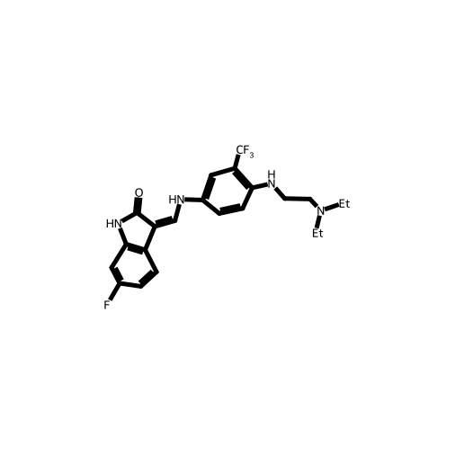 CCN(CC)CCNc1ccc(NC=C2C(=O)Nc3cc(F)ccc32)cc1C(F)(F)F